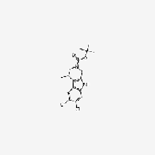 CC1CN(C(=O)OC(C)(C)C)Cc2[nH]c3cc(Cl)c(Cl)cc3c21